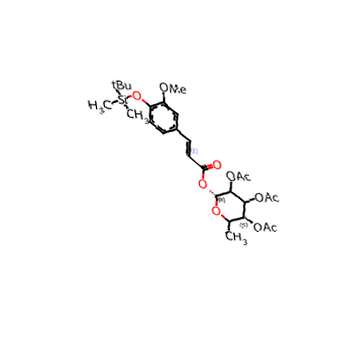 COc1cc(/C=C/C(=O)O[C@H]2OC(C)[C@H](OC(C)=O)C(OC(C)=O)C2OC(C)=O)ccc1O[Si](C)(C)C(C)(C)C